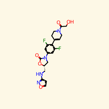 O=C(CO)N1CC=C(c2c(F)cc(N3C[C@H](CNc4ccon4)OC3=O)cc2F)CC1